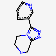 c1cncc(-c2nnc3n2CC[N]C3)c1